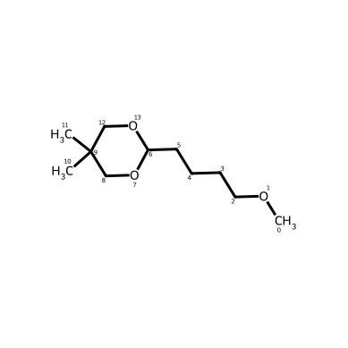 COCCCCC1OCC(C)(C)CO1